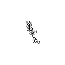 COc1cc(C)c2oc(COC(=O)Nc3ccn([C@@H]4O[CH][C@@H](O)C4(F)F)c(=O)n3)cc2c1